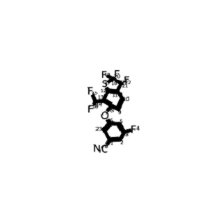 N#Cc1cc(F)cc(Oc2ccc3c(c2C(F)F)SC(F)(F)[C@@H]3F)c1